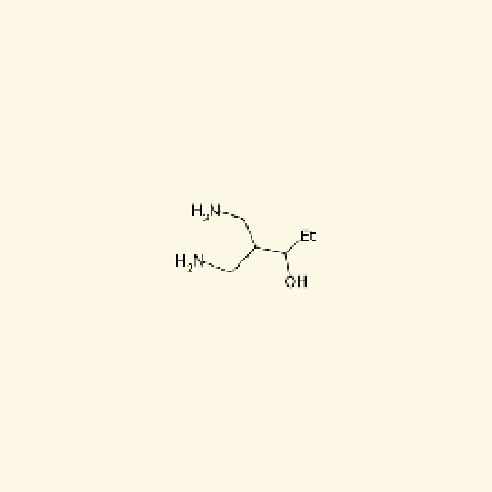 CCC(O)C(CN)CN